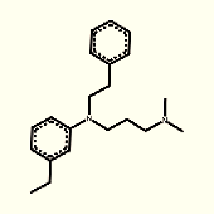 CCc1cccc(N(CCCN(C)C)CCc2ccccc2)c1